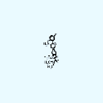 CCN(CC)C(=O)c1nc2c(n1CC)CN([C@H]1CO[C@H](c3cc(F)ccc3F)[C@@H](N)C1)C2